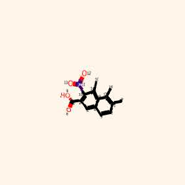 Cc1ccc2cc(C(=O)O)c(I(=O)=O)c(C)c2c1C